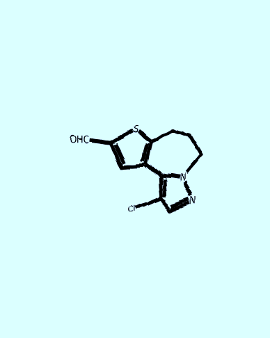 O=Cc1cc2c(s1)CCCn1ncc(Cl)c1-2